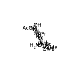 COc1cc(CNC(CC(N)=O)c2ccc3c(c2)nc(-c2ccc(N(CCO)CCOC(C)=O)cc2)n3C(C)C)cc(Br)c1OC